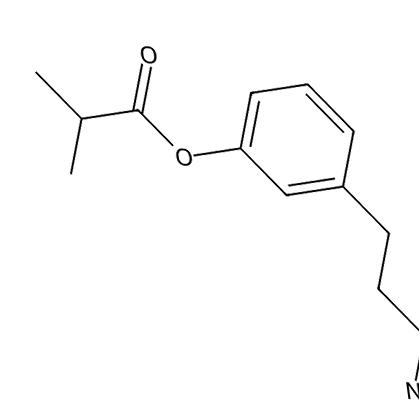 CC(C)C(=O)Oc1cccc(CCCN)c1